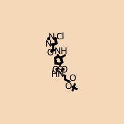 Cc1cc(S(=O)(=O)NCCC(=O)OC(C)(C)C)ccc1NC(=O)c1cc(Cl)ncn1